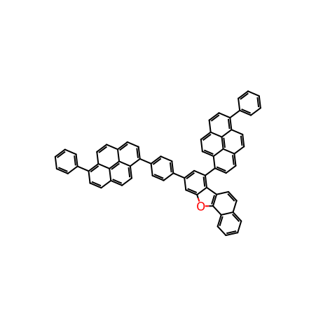 c1ccc(-c2ccc3ccc4c(-c5ccc(-c6cc(-c7ccc8ccc9c(-c%10ccccc%10)ccc%10ccc7c8c%109)c7c(c6)oc6c8ccccc8ccc67)cc5)ccc5ccc2c3c54)cc1